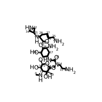 CN[C@@H]1[C@@H](O)[C@@H](O[C@H]2[C@H](NC(=O)N(O)CCN)C[C@H](N)C(O[C@H]3OC(CN)=CC[C@H]3NC3CNC3)[C@@H]2O)OC[C@]1(C)O